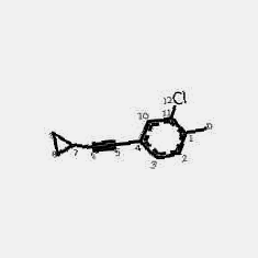 Cc1ccc(C#CC2CC2)cc1Cl